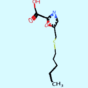 CCCCCSCc1cnc(C(=O)O)o1